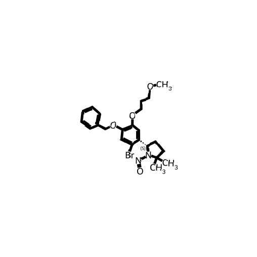 COCCCOc1cc([C@@H]2CCC(C)(C)N2N=O)c(Br)cc1OCc1ccccc1